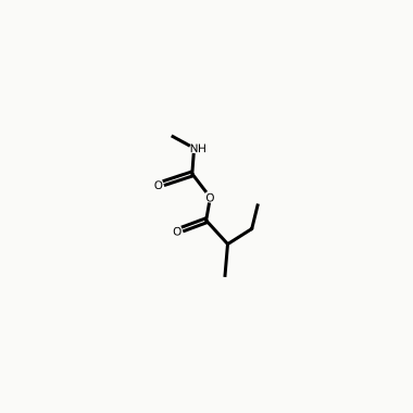 CCC(C)C(=O)OC(=O)NC